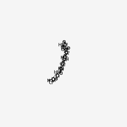 N#Cc1ccc(OC2CCC(NC(=O)c3cnc(N4CCN(C5C[C@@H]6CN(c7ccc8c(c7)C(=O)N(C7CCC(=O)NC7=O)C8=O)C[C@@H]6C5)CC4)cn3)CC2)cc1Cl